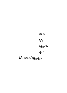 [Mn+2].[Mn+2].[Mn+2].[Mn].[Mn].[Mn].[N-3].[N-3]